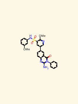 COc1cccc(NS(=O)(=O)c2cc(-c3ccc4nc(N)n(-c5ccccc5)c(=O)c4c3)cnc2OC)c1